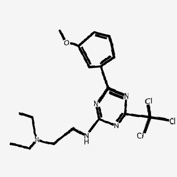 CCN(CC)CCNc1nc(-c2cccc(OC)c2)nc(C(Cl)(Cl)Cl)n1